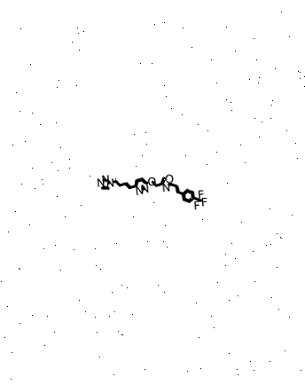 FC(F)(F)c1ccc(C=Cc2nc(COc3ccc(C=CCCn4ccnn4)nn3)co2)cc1